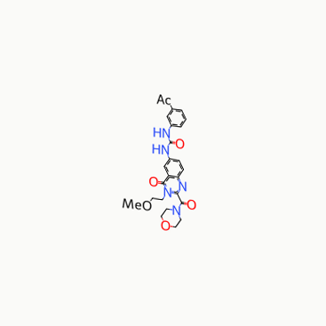 COCCn1c(C(=O)N2CCOCC2)nc2ccc(NC(=O)Nc3cccc(C(C)=O)c3)cc2c1=O